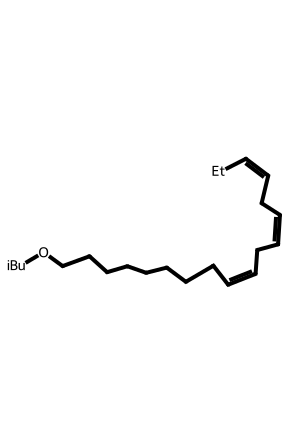 CC/C=C\C/C=C\C/C=C\CCCCCCCCOC(C)CC